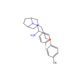 N#Cc1ccc(OCCC(N)CN2C3CCC2CN(Cc2ccc(F)cc2)C3)cc1